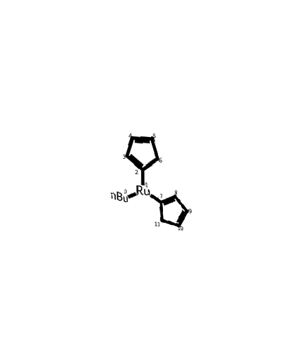 CCC[CH2][Ru]([C]1=CC=CC1)[C]1=CC=CC1